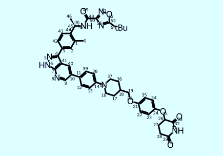 Cc1cc(-c2n[nH]c3ncc(-c4ccc(N5CCC(COc6ccc(OC7CCC(=O)NC7=O)cc6)CC5)cc4)cc23)ccc1[C@@H](C)NC(=O)c1noc(C(C)(C)C)n1